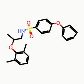 Cc1cccc(C)c1OC(C)CNS(=O)(=O)c1ccc(Oc2ccccc2)cc1